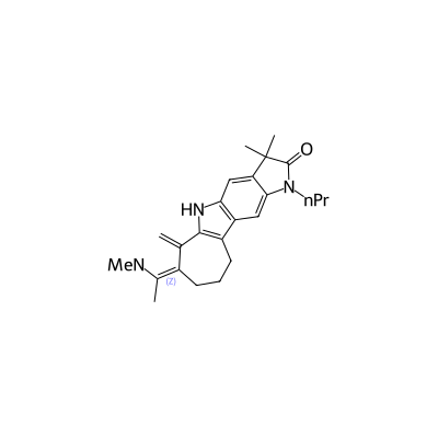 C=C1/C(=C(/C)NC)CCCc2c1[nH]c1cc3c(cc21)N(CCC)C(=O)C3(C)C